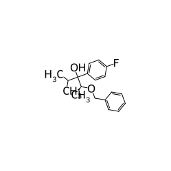 CC(C)C(O)(c1ccc(F)cc1)[C@H](C)OCc1ccccc1